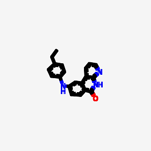 CCc1ccc(Nc2ccc3c(=O)[nH]c4ncccc4c3c2)cc1